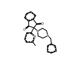 Cc1cccc(C2(N3CCN(Cc4ccccc4)CC3)C(=O)c3ccccc3C2=O)n1